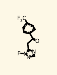 O=C(Cc1ncnn1F)c1ccc(C(F)(F)F)cc1